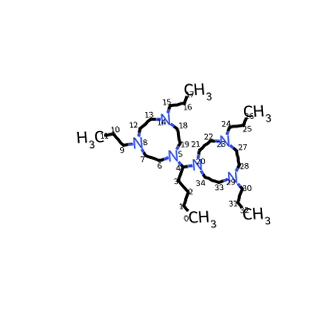 CCCCC(N1CCN(CCC)CCN(CCC)CC1)N1CCN(CCC)CCN(CCC)CC1